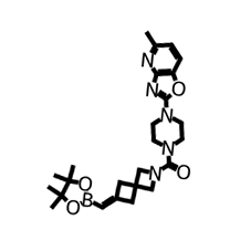 Cc1ccc2oc(N3CCN(C(=O)N4CC5(CC(=CB6OC(C)(C)C(C)(C)O6)C5)C4)CC3)nc2n1